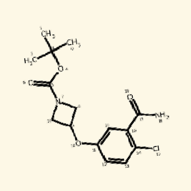 CC(C)(C)OC(=O)N1CC(Oc2ccc(Cl)c(C(N)=O)c2)C1